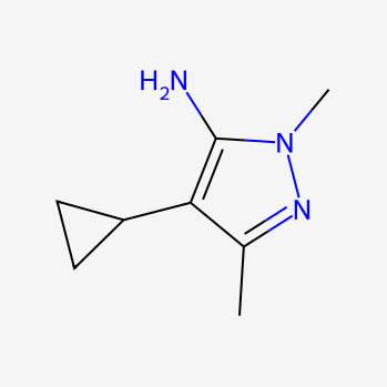 Cc1nn(C)c(N)c1C1CC1